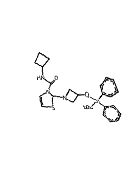 CC(C)(C)[Si](OC1CN(C2SC=CN2C(=O)NC2CCC2)C1)(c1ccccc1)c1ccccc1